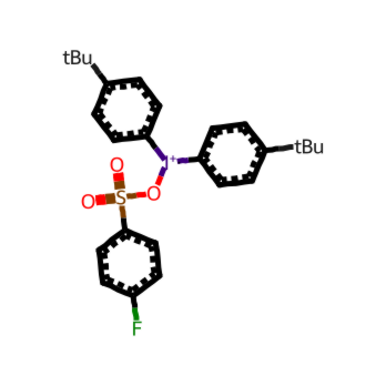 CC(C)(C)c1ccc([I+](OS(=O)(=O)c2ccc(F)cc2)c2ccc(C(C)(C)C)cc2)cc1